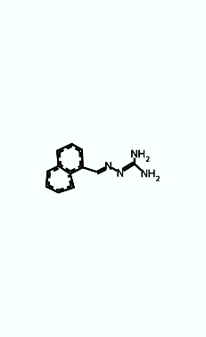 NC(N)=N/N=C/c1cccc2ccccc12